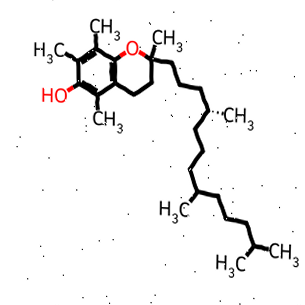 Cc1c(C)c2c(c(C)c1O)CCC(C)(CCC[C@H](C)CCCC(C)CCCC(C)C)O2